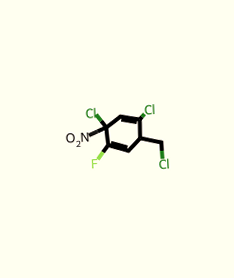 O=[N+]([O-])C1(Cl)C=C(Cl)C(CCl)C=C1F